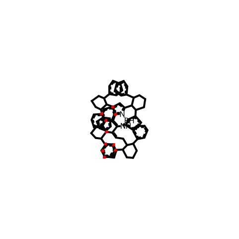 B1NC(/C(=C\CC2C(c3ccccc3)CCCC2c2ccccc2)C2C(c3ccccc3)CCCC2c2ccccc2)=C(c2ccccc2)c2c(C3C(c4ccccc4)CCCC3c3ccccc3)cc(C3C(c4ccccc4)CCCC3c3ccccc3)n21